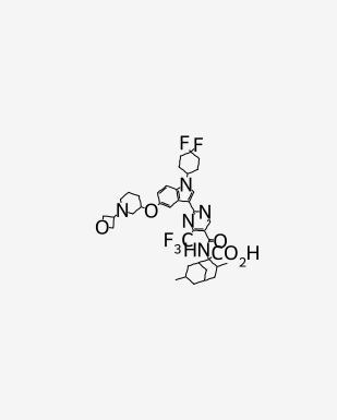 CC1CC2CC(C)C(NC(=O)c3cnc(-c4cn(C5CCC(F)(F)CC5)c5ccc(OC6CCCN(C7COC7)C6)cc45)nc3C(F)(F)F)(C(=O)O)C(C1)C2